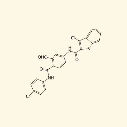 O=Cc1cc(NC(=O)c2sc3ccccc3c2Cl)ccc1C(=O)Nc1ccc(Cl)cc1